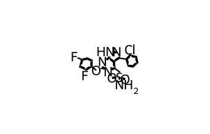 NS(=O)(=O)Cc1nc(Oc2ccc(F)cc2F)nc2[nH]nc(-c3ccccc3Cl)c12